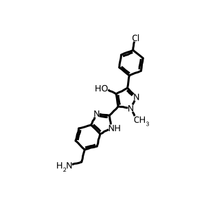 Cn1nc(-c2ccc(Cl)cc2)c(O)c1-c1nc2ccc(CN)cc2[nH]1